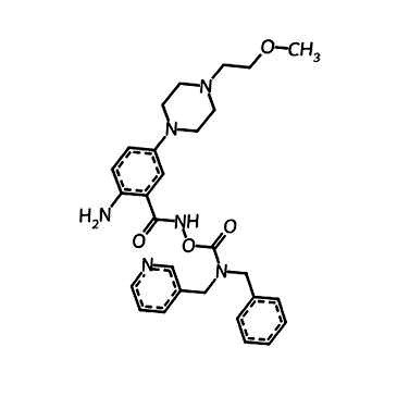 COCCN1CCN(c2ccc(N)c(C(=O)NOC(=O)N(Cc3ccccc3)Cc3cccnc3)c2)CC1